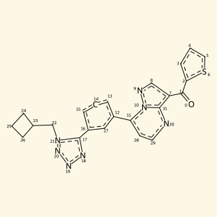 O=C(c1cccs1)c1cnn2c(-c3cccc(-c4nnnn4CC4CCC4)c3)ccnc12